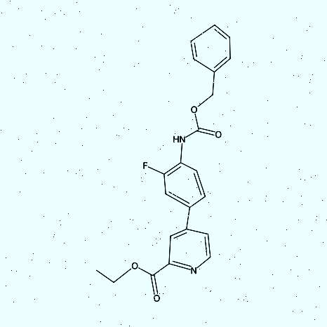 CCOC(=O)c1cc(-c2ccc(NC(=O)OCc3ccccc3)c(F)c2)ccn1